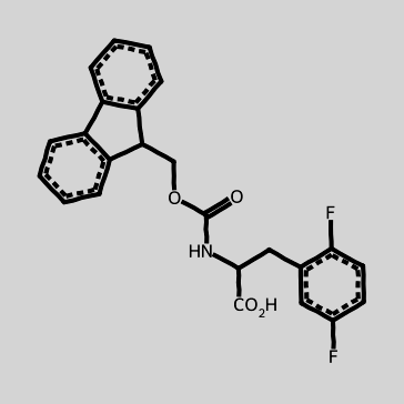 O=C(NC(Cc1cc(F)ccc1F)C(=O)O)OCC1c2ccccc2-c2ccccc21